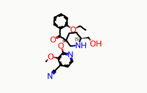 CCOc1ccccc1C(=O)[C@@]1(Oc2nccc(C#N)c2OC)CC[C@@H](CO)NC1